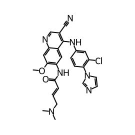 COc1cc2ncc(C#N)c(Nc3ccc(-n4ccnc4)c(Cl)c3)c2cc1NC(=O)C=CCN(C)C